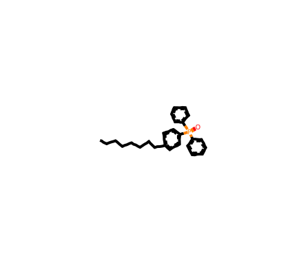 CCCCCCCCc1ccc(P(=O)(c2ccccc2)c2ccccc2)cc1